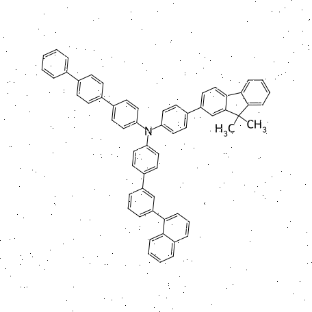 CC1(C)c2ccccc2-c2ccc(-c3ccc(N(c4ccc(-c5ccc(-c6ccccc6)cc5)cc4)c4ccc(-c5cccc(-c6cccc7ccccc67)c5)cc4)cc3)cc21